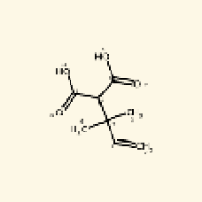 C=CC(C)(C)C(C(=O)O)C(=O)O